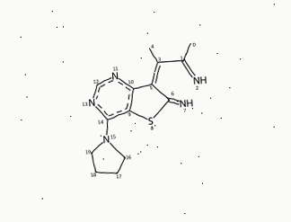 CC(=N)/C(C)=C1\C(=N)Sc2c1ncnc2N1CCCC1